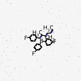 C\C=C/C=C(C)/C(C)=C(\B(c1ccc(F)cc1)c1ccc(F)cc1)c1ccc(F)cc1